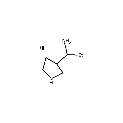 CCC(N)C1CCNC1.I